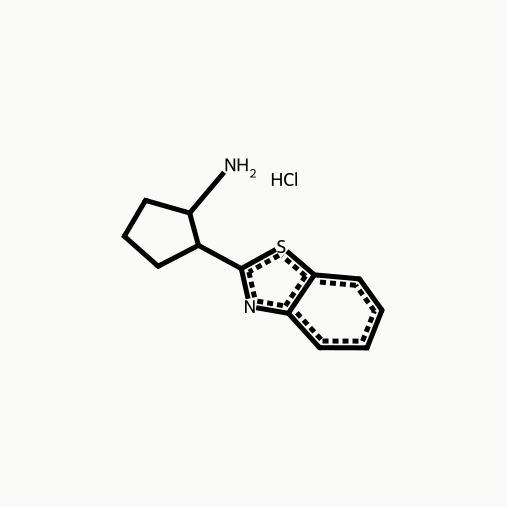 Cl.NC1CCCC1c1nc2ccccc2s1